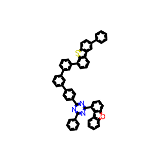 c1ccc(-c2ccc3sc4c(-c5cccc(-c6cccc(-c7ccc(-c8nc(-c9ccccc9)nc(-c9cccc%10oc%11ccccc%11c9%10)n8)cc7)c6)c5)cccc4c3c2)cc1